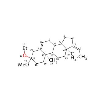 C/C=C1/CCC2C3CC=C4CC(OC)(OCC)CC[C@]4(C)C3CC[C@]12C